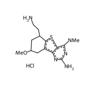 CNc1nc(N)nc2c3c(sc12)C(CCN)CC(OC)C3.Cl